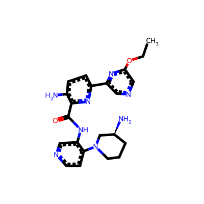 CCOc1cncc(-c2ccc(N)c(C(=O)Nc3cnccc3N3CCC[C@H](N)C3)n2)n1